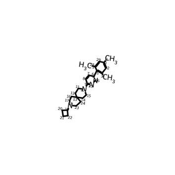 Cc1cc(C)c(-c2ccc(N3CCC4(CC3)CCN(C3CCC3)CC4)nn2)c(C)c1